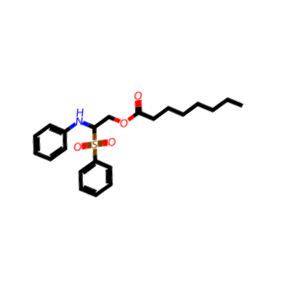 CCCCCCCC(=O)OCC(Nc1ccccc1)S(=O)(=O)c1ccccc1